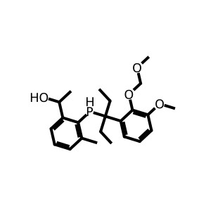 CCC(CC)(Pc1c(C)cccc1C(C)O)c1cccc(OC)c1OCOC